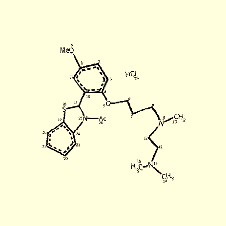 COc1ccc(OCCCN(C)CCN(C)C)c(C2Sc3ccccc3N2C(C)=O)c1.Cl